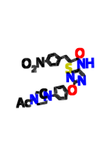 CC(=O)N1CCN(c2ccc(Oc3ncc4c(n3)S/C(=C\c3ccc([N+](=O)[O-])cc3)C(=O)N4)cc2)CC1